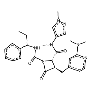 CCC(NC(=O)N1C(=O)[C@H](Cc2ccnc(N(C)C)c2)[C@H]1C(=O)N(C)c1cnn(C)c1)c1ccccc1